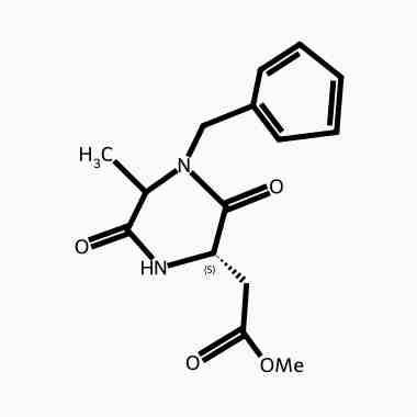 COC(=O)C[C@@H]1NC(=O)C(C)N(Cc2ccccc2)C1=O